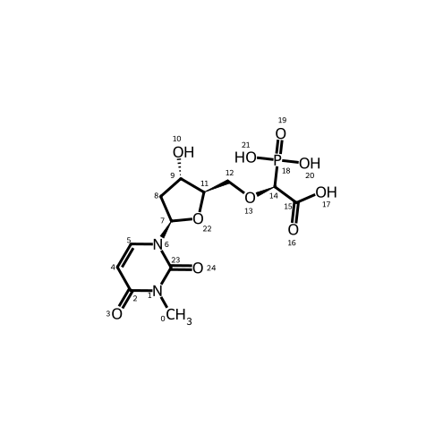 Cn1c(=O)ccn([C@H]2C[C@H](O)[C@@H](CO[C@H](C(=O)O)P(=O)(O)O)O2)c1=O